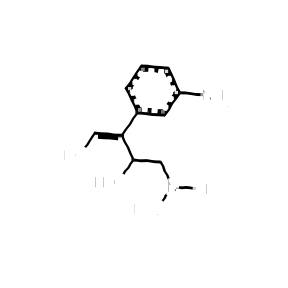 C/C=C(/c1cccc(N)c1)C(C)CN(C)C